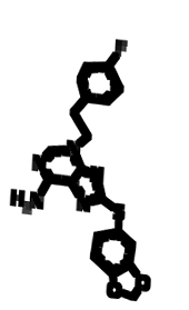 Nc1ncn(CCc2ccc(F)cc2)c2nc(Sc3ccc4c(c3)OCO4)nc1-2